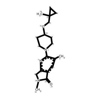 Cc1cc2c(nc1N1CCC(OCC3(C)CC3)CC1)CN(C)C2=O